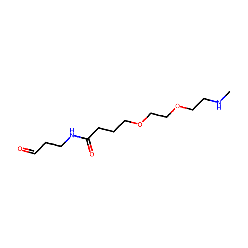 CNCCOCCOCCCC(=O)NCCC=O